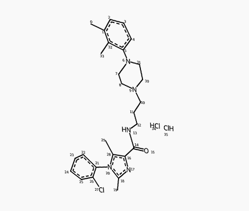 Cc1cccc(N2CCN(CCCNC(=O)c3nc(C)n(-c4ccccc4Cl)c3C)CC2)c1C.Cl.Cl